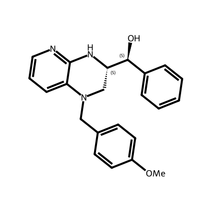 COc1ccc(CN2C[C@@H]([C@@H](O)c3ccccc3)Nc3ncccc32)cc1